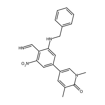 Cc1cc(-c2cc(NCc3ccccc3)c(C=N)c([N+](=O)[O-])c2)cn(C)c1=O